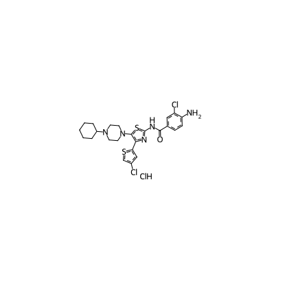 Cl.Nc1ccc(C(=O)Nc2nc(-c3cc(Cl)cs3)c(N3CCN(C4CCCCC4)CC3)s2)cc1Cl